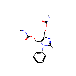 CSc1nc(COC(=O)NC(C)C)c(COC(=O)NC(C)C)n1-c1ccccc1